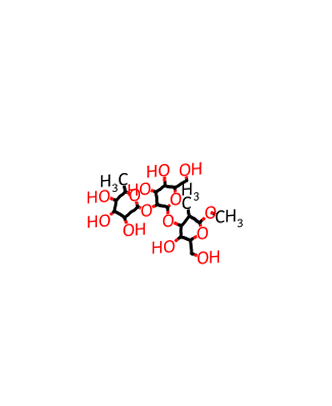 COC1OC(CO)C(O)C(OC2OC(CO)C(O)C(O)C2OC2OC(C)C(O)C(O)C2O)C1C